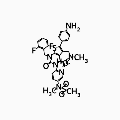 CN(C)Cc1c(-c2ccc(N)cc2)sc2c1c(=O)n(-c1ccc(N(C)S(C)(=O)=O)cn1)c(=O)n2Cc1c(F)cccc1F